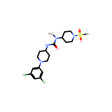 CC(C)S(=O)(=O)N1CCC(N(C)C(=O)NC2CCN(c3cc(Cl)cc(Cl)c3)CC2)CC1